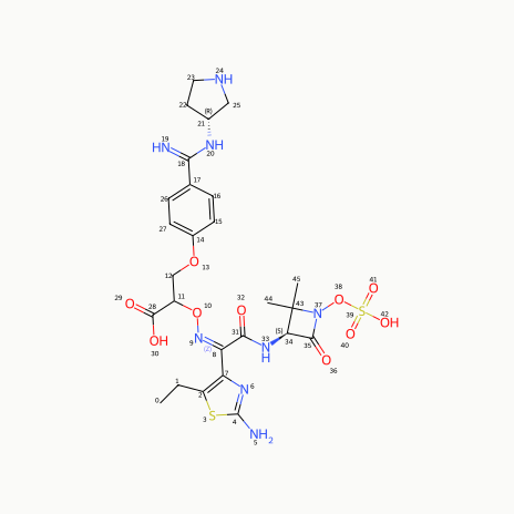 CCc1sc(N)nc1/C(=N/OC(COc1ccc(C(=N)N[C@@H]2CCNC2)cc1)C(=O)O)C(=O)N[C@@H]1C(=O)N(OS(=O)(=O)O)C1(C)C